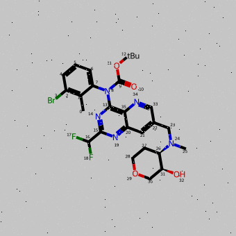 Cc1c(Br)cccc1N(C(=O)OC(C)(C)C)c1nc(C(F)F)nc2cc(CN(C)[C@@H]3CCOC[C@@H]3O)cnc12